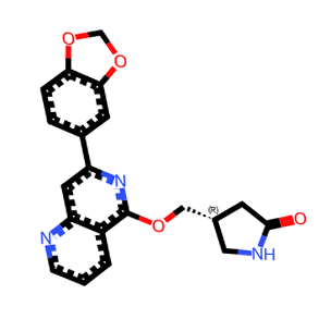 O=C1C[C@@H](COc2nc(-c3ccc4c(c3)OCO4)cc3ncccc23)CN1